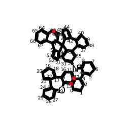 c1ccc(-c2ccccc2N(c2ccc3c(c2)-c2ccccc2-c2ccccc2O3)c2ccc3c(c2)-c2ccccc2-c2ccccc2C32c3ccccc3-c3c2c2ccccc2c2ccccc32)cc1